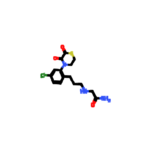 NC(=O)CNCCCc1ccc(Cl)cc1N1CCSC(=O)C1=O